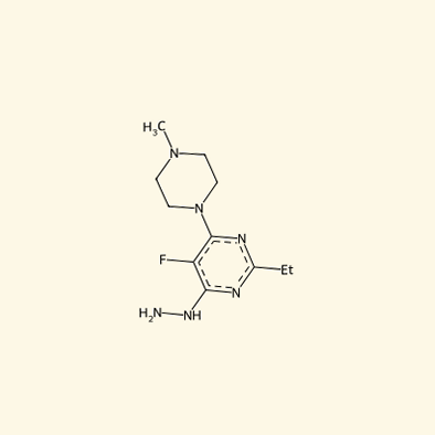 CCc1nc(NN)c(F)c(N2CCN(C)CC2)n1